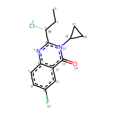 CC[C@@H](Cl)c1nc2ccc(F)cc2c(=O)n1C1CC1